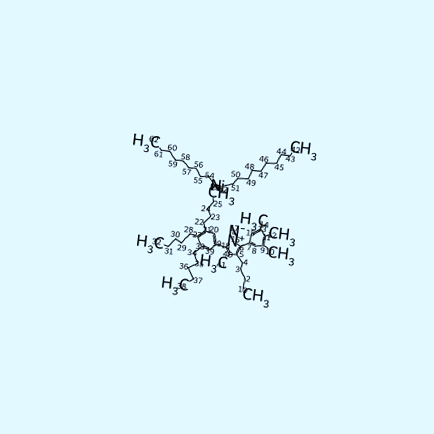 CCCCCC1=C(c2cc(C)c(C)c(C)c2)[N+](=[N-])C(c2cc(CCCCC)c(CCCCC)c(CCCCC)c2)=C1C.CCCCCCCCC[CH2][Ni][CH2]CCCCCCCCC